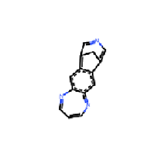 C1=CN=c2cc3c(cc2N=C1)=C1C=NC=C3C1